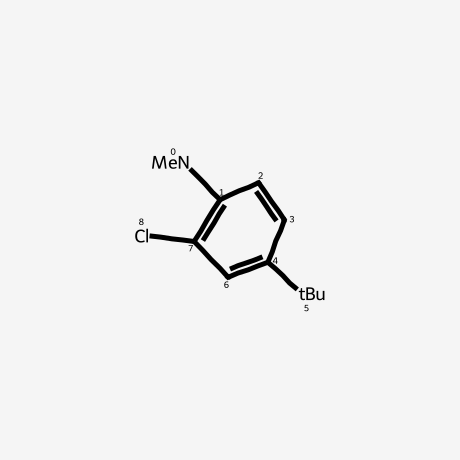 CNc1ccc(C(C)(C)C)cc1Cl